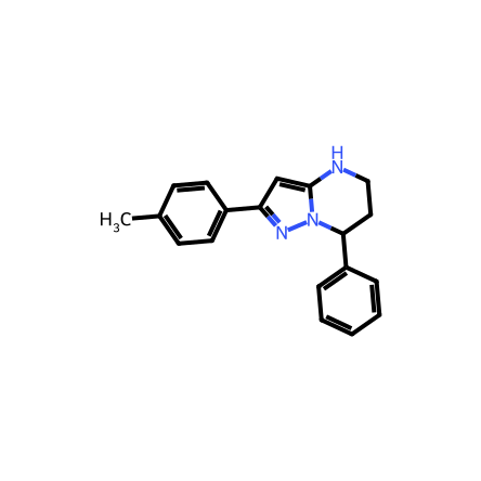 Cc1ccc(-c2cc3n(n2)C(c2ccccc2)CCN3)cc1